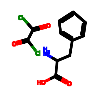 NC(Cc1ccccc1)C(=O)O.O=C(Cl)C(=O)Cl